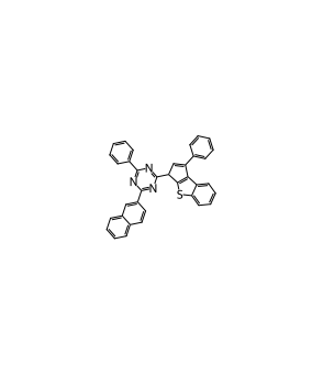 C1=C(c2ccccc2)c2c(sc3ccccc23)C1c1nc(-c2ccccc2)nc(-c2ccc3ccccc3c2)n1